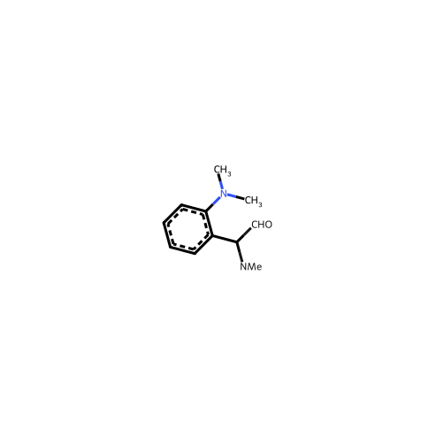 CNC(C=O)c1ccccc1N(C)C